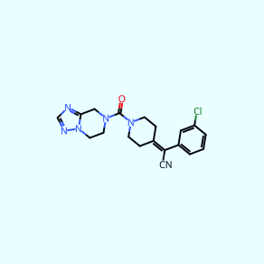 N#CC(=C1CCN(C(=O)N2CCn3ncnc3C2)CC1)c1cccc(Cl)c1